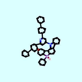 O=P1(c2ccccc2)c2ccccc2-c2c1ccc1c3ccccc3n(-c3cc(-c4ccc(-c5ccccc5)cc4)nc(-c4ccc(-c5ccccc5)cc4)c3)c21